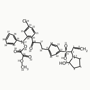 C=CC(N1CCCC1O)S(=O)(=O)c1ccc(CCC(=O)c2ccc(Cl)cc2N(OC(=O)C(=O)OC)c2ccccc2)cc1